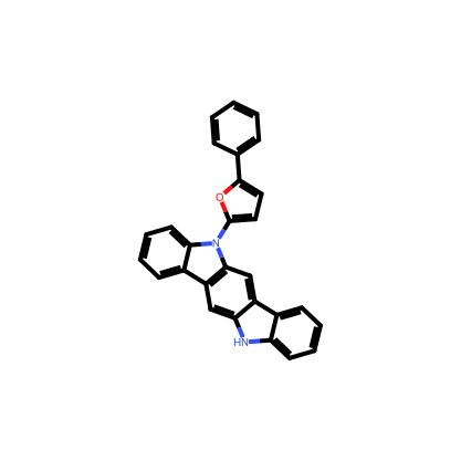 c1ccc(-c2ccc(-n3c4ccccc4c4cc5[nH]c6ccccc6c5cc43)o2)cc1